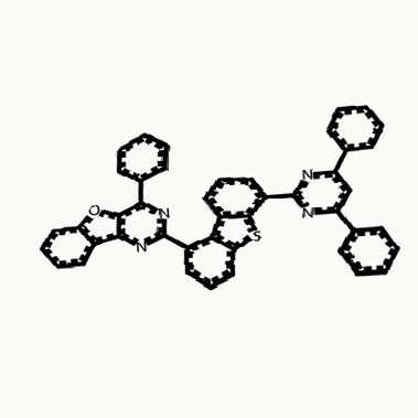 c1ccc(-c2cc(-c3ccccc3)nc(-c3cccc4c3sc3cccc(-c5nc(-c6ccccc6)c6oc7ccccc7c6n5)c34)n2)cc1